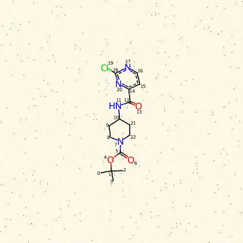 CC(C)(C)OC(=O)N1CCC(NC(=O)c2ccnc(Cl)n2)CC1